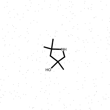 CC1(O)CNC(C)(C)C1